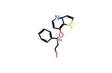 ICC[C@H](Oc1ccnc2ccsc12)c1ccccc1